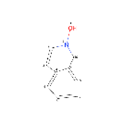 ON1C=Cc2ccccc2C1